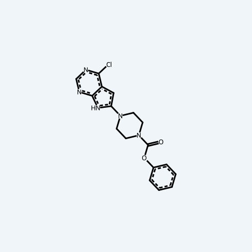 O=C(Oc1ccccc1)N1CCN(c2cc3c(Cl)ncnc3[nH]2)CC1